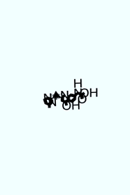 Cc1ccnc([C@H]2C[C@@H]2c2cc(O)c3ccc(NC(=O)O)cc3n2)n1